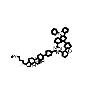 CC(C)CCC[C@@H](C)[C@H]1CC[C@H]2[C@@H]3CC[C@H]4CC(c5ccc(-c6nc(C7=CC=CC8Oc9ccc(-c%10ccc%11c(c%10)c%10ccccc%10n%11-c%10ccccc%10)cc9C78)nc(-c7ccccc7)n6)cc5)CC[C@]4(C)C3CC[C@]12C